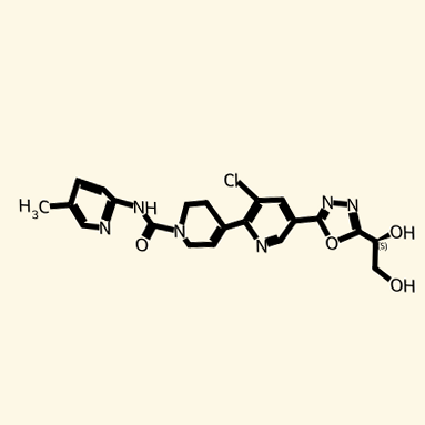 Cc1ccc(NC(=O)N2CC=C(c3ncc(-c4nnc([C@@H](O)CO)o4)cc3Cl)CC2)nc1